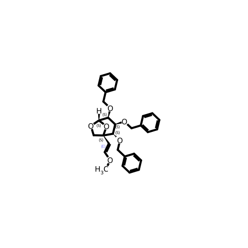 CO/C=C/[C@@]12CO[C@@H](O1)[C@@H](OCc1ccccc1)[C@@H](OCc1ccccc1)[C@@H]2OCc1ccccc1